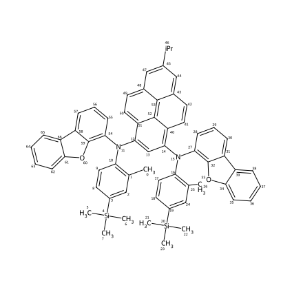 Cc1cc([Si](C)(C)C)ccc1N(c1cc(N(c2ccc([Si](C)(C)C)cc2C)c2cccc3c2oc2ccccc23)c2ccc3cc(C(C)C)cc4ccc1c2c43)c1cccc2c1oc1ccccc12